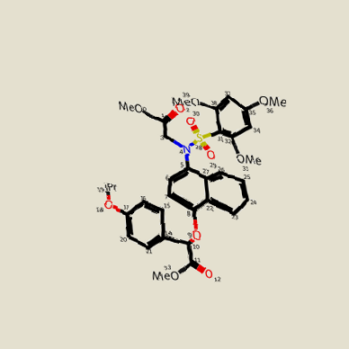 COC(=O)CN(c1ccc(OC(C(=O)OC)c2ccc(OC(C)C)cc2)c2ccccc12)S(=O)(=O)c1c(OC)cc(OC)cc1OC